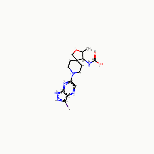 CC1OCC2(CCN(c3cnc4c(I)n[nH]c4n3)CC2)C1NC(=O)O